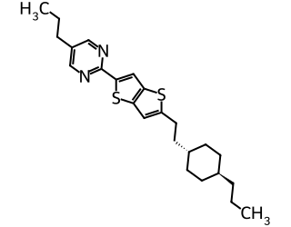 CCCc1cnc(-c2cc3sc(CC[C@H]4CC[C@H](CCC)CC4)cc3s2)nc1